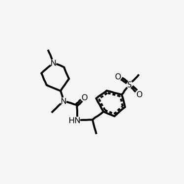 CC(NC(=O)N(C)C1CCN(C)CC1)c1ccc(S(C)(=O)=O)cc1